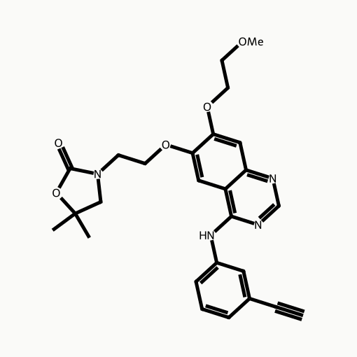 C#Cc1cccc(Nc2ncnc3cc(OCCOC)c(OCCN4CC(C)(C)OC4=O)cc23)c1